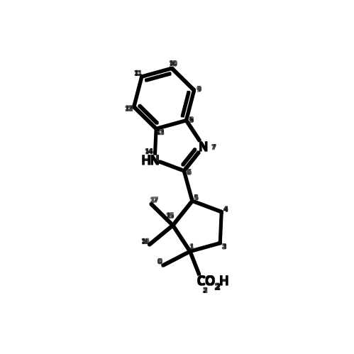 CC1(C(=O)O)CCC(c2nc3ccccc3[nH]2)C1(C)C